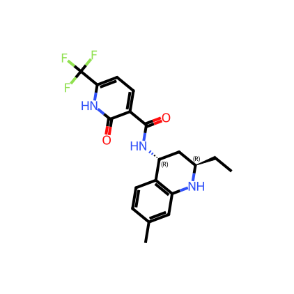 CC[C@@H]1C[C@@H](NC(=O)c2ccc(C(F)(F)F)[nH]c2=O)c2ccc(C)cc2N1